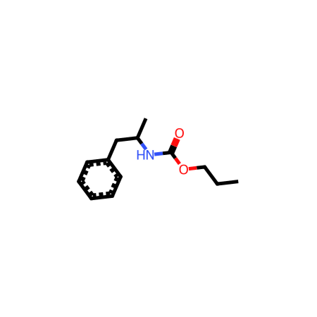 CCCOC(=O)NC(C)Cc1ccccc1